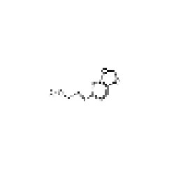 CC(=O)OCC=Cc1ccc2c(c1)OCO2